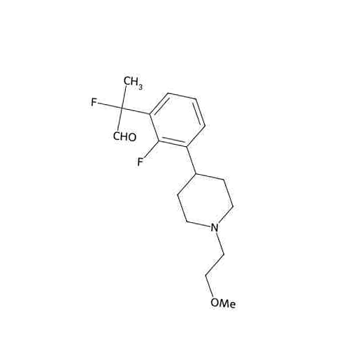 COCCN1CCC(c2cccc(C(C)(F)C=O)c2F)CC1